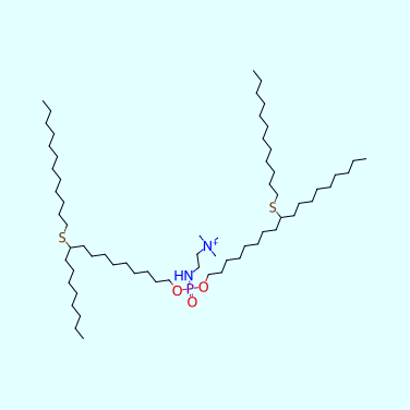 CCCCCCCCCCCCSC(CCCCCCCC)CCCCCCCCCOP(=O)(NCC[N+](C)(C)C)OCCCCCCCCC(CCCCCCCCC)SCCCCCCCCCCCC